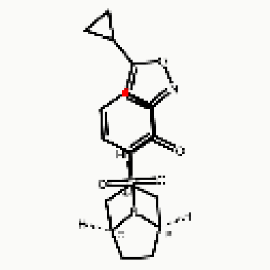 O=C(N[C@H]1C[C@H]2CC[C@@H](C1)N2S(=O)(=O)c1ccccc1)c1cc(C2CC2)on1